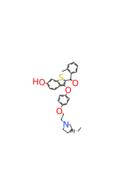 CC[C@@H]1CCN(CCOc2ccc(Oc3c(C(=O)c4ccccc4C)sc4cc(O)ccc34)cc2)C1